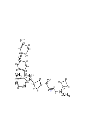 CN(C/C=C/C(=O)N1CCC(n2nc(-c3ccc(Oc4cccc(F)c4)cc3)c3c(N)ncnc32)C1)C1CCC1